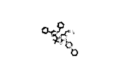 CC(C)(C)[C@H](c1nc(-c2ccccc2)cn1Cc1ccccc1)N(CC(F)CN)C(=O)ON1CCN(C2CCCCC2)CC1